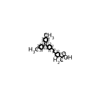 C=C(C(=O)O)c1ccc(C=Cc2ccc(N(c3ccc(C)cc3)c3ccc(C)cc3)cc2)cc1